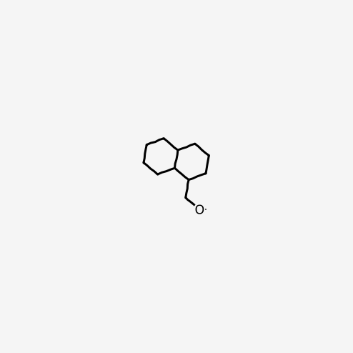 [O]CC1CCCC2CCCCC12